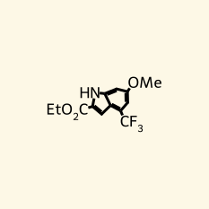 CCOC(=O)c1cc2c(C(F)(F)F)cc(OC)cc2[nH]1